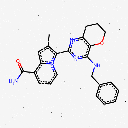 Cc1cc2c(C(N)=O)cccn2c1-c1nc2c(c(NCc3ccccc3)n1)OCCC2